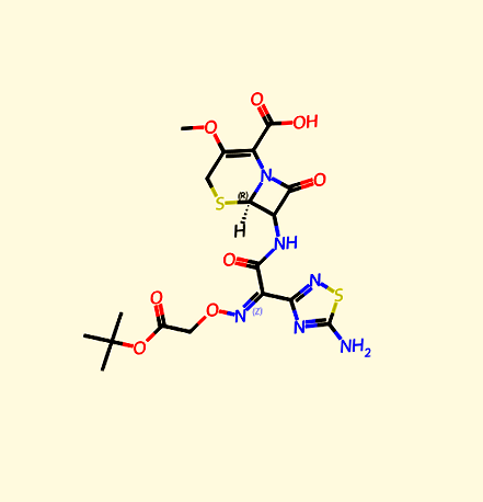 COC1=C(C(=O)O)N2C(=O)C(NC(=O)/C(=N\OCC(=O)OC(C)(C)C)c3nsc(N)n3)[C@H]2SC1